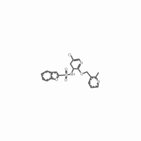 Cc1ncccc1COC1=NC=C(Cl)CC1NS(=O)(=O)c1cc2ccccc2o1